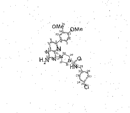 COc1ccc(-c2ccc3nc(N)nc(N4CCN(C(=O)NCc5ccc(Cl)cc5)CC4)c3n2)cc1OC